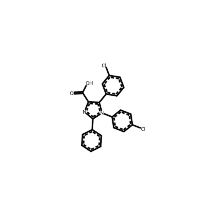 O=C(O)c1nc(-c2ccccc2)n(-c2ccc(Cl)cc2)c1-c1cccc(Cl)c1